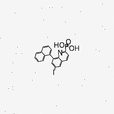 O=P(O)(O)c1ccc2cc(I)cc(-c3cccc4ccccc34)c2n1